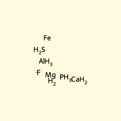 P.S.[AlH3].[CaH2].[F].[Fe].[MgH2]